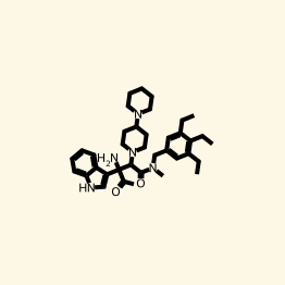 CCc1cc(CN(C)C(=O)C(N2CCC(N3CCCCC3)CC2)C(N)(C(C)=O)c2c[nH]c3ccccc23)cc(CC)c1CC